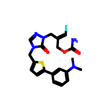 CN(C)c1cccc(-c2ccc(Cn3cnn(C/C(=C\F)COC(N)=O)c3=O)s2)c1